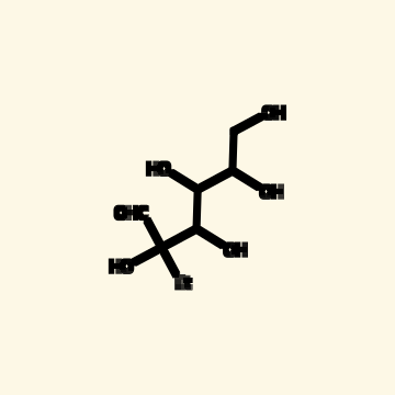 CCC(O)(C=O)C(O)C(O)C(O)CO